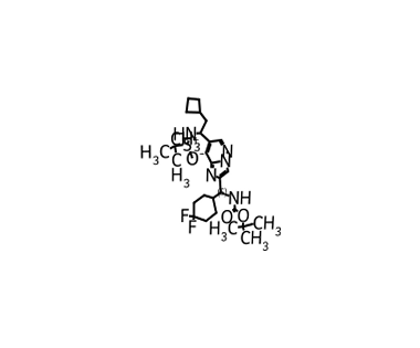 CC(C)(C)OC(=O)N[C@H](c1cn2ncc(C(CC3CCC3)N[S+]([O-])C(C)(C)C)cc2n1)C1CCC(F)(F)CC1